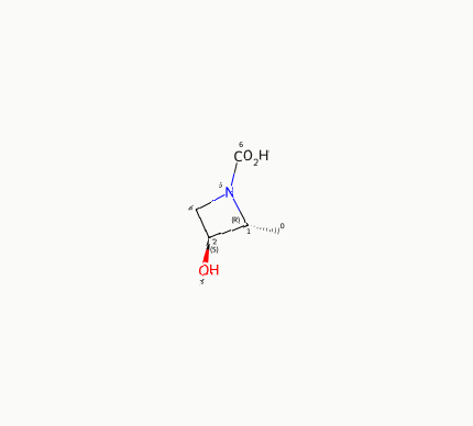 C[C@@H]1[C@@H](O)CN1C(=O)O